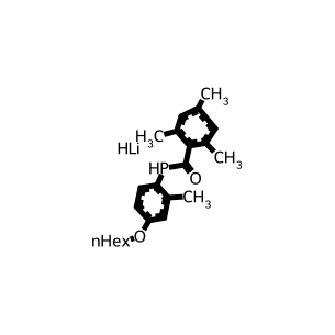 CCCCCCOc1ccc(PC(=O)c2c(C)cc(C)cc2C)c(C)c1.[LiH]